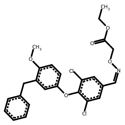 CCOC(=O)CO/N=C\c1cc(Cl)c(Oc2ccc(OC)c(Cc3ccccc3)c2)c(Cl)c1